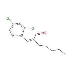 CCCCC/C(C=O)=C/c1ccc(Cl)cc1Cl